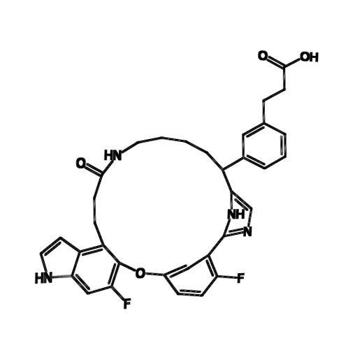 O=C(O)CCc1cccc(C2CCCCNC(=O)CCc3c(c(F)cc4[nH]ccc34)Oc3ccc(F)c(c3)-c3ncc2[nH]3)c1